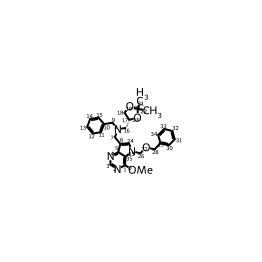 COc1ncnc2c(CN(Cc3ccccc3)C[C@@H]3COC(C)(C)O3)cn(COCc3ccccc3)c12